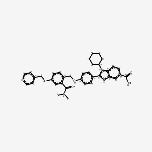 CN(C)C(=O)c1cc(OCc2ccncc2)ccc1COc1ccc(-c2nc3cc(C(=O)O)ccc3n2C2CCCCC2)cc1